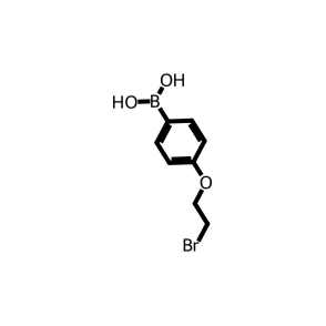 OB(O)c1ccc(OCCBr)cc1